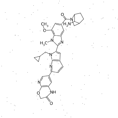 COc1cc(C(=O)N2CC3CCC2C3N)cc2nc(-c3cc4ccc(-c5cnc6c(c5)NC(=O)CO6)nc4n3CC3CC3)n(C)c12